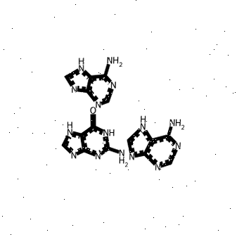 Nc1nc2nc[nH]c2c(=O)[nH]1.Nc1ncnc2nc[nH]c12.Nc1ncnc2nc[nH]c12